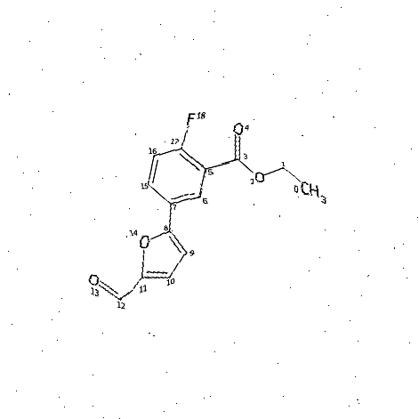 CCOC(=O)c1cc(-c2ccc(C=O)o2)ccc1F